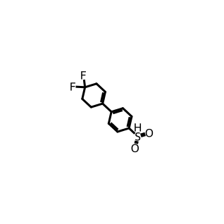 O=[SH](=O)c1ccc(C2=CCC(F)(F)CC2)cc1